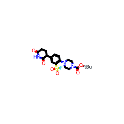 CC(C)(C)OC(=O)N1CCN(c2ccc(C3CCC(=O)NC3=O)cc2S(=O)(=O)F)CC1